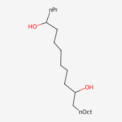 CCCCCCCCCC(O)CCCCCCC(O)CCC